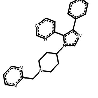 c1ccc(-c2ncn(C3CCN(Cc4ncccn4)CC3)c2-c2ccncn2)cc1